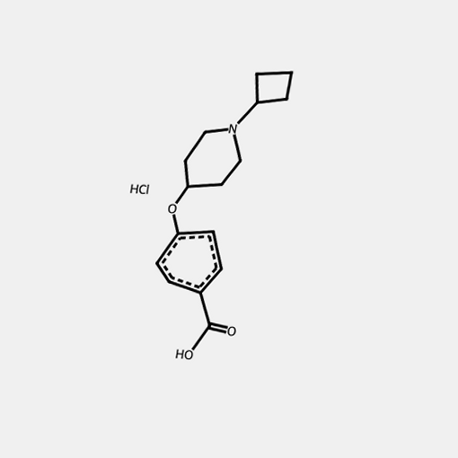 Cl.O=C(O)c1ccc(OC2CCN(C3CCC3)CC2)cc1